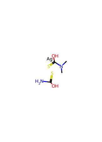 CN(C)C(O)=S.NC(O)=S.[Ag]